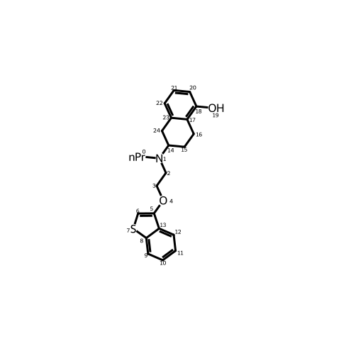 CCCN(CCOc1csc2ccccc12)C1CCc2c(O)cccc2C1